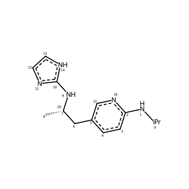 CC(C)Nc1ccc(C[C@H](C)Nc2ncc[nH]2)cn1